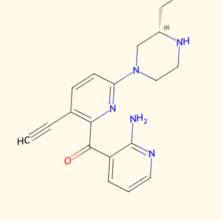 C#Cc1ccc(N2CCN[C@@H](CC(C)C)C2)nc1C(=O)c1cccnc1N